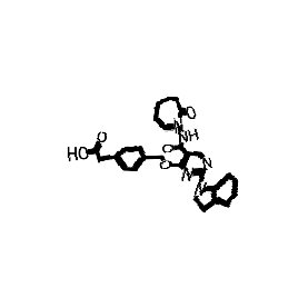 O=C(O)Cc1ccc(COc2nc(N3CCc4ccccc43)ncc2C(=O)NN2CCCCCC2=O)cc1